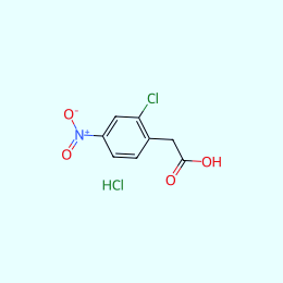 Cl.O=C(O)Cc1ccc([N+](=O)[O-])cc1Cl